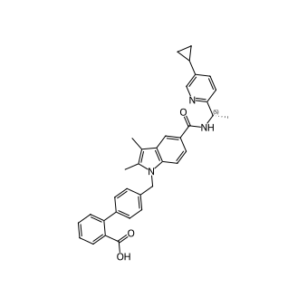 Cc1c(C)n(Cc2ccc(-c3ccccc3C(=O)O)cc2)c2ccc(C(=O)N[C@@H](C)c3ccc(C4CC4)cn3)cc12